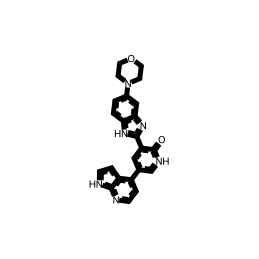 O=c1[nH]cc(-c2ccnc3[nH]ccc23)cc1-c1nc2cc(N3CCOCC3)ccc2[nH]1